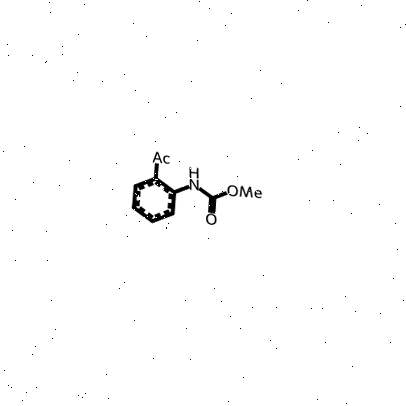 COC(=O)Nc1ccccc1C(C)=O